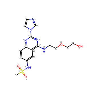 CS(=O)(=O)Nc1ccc2nc(-n3ccnc3)nc(NCCOCCO)c2c1